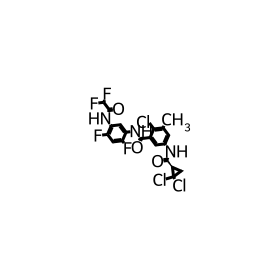 Cc1cc(NC(=O)[C@H]2CC2(Cl)Cl)cc(C(=O)Nc2cc(NC(=O)C(F)F)c(F)cc2F)c1Cl